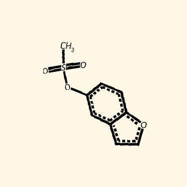 CS(=O)(=O)Oc1ccc2occc2c1